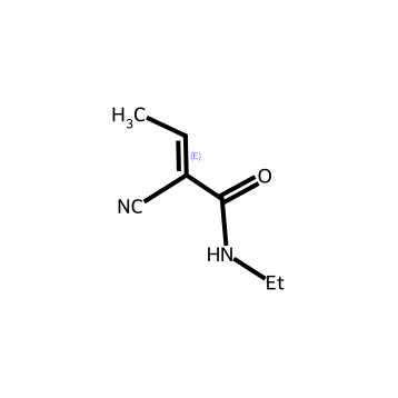 C/C=C(\C#N)C(=O)NCC